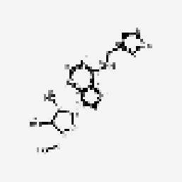 OC[C@H]1O[C@@H](n2cnc3c(NCc4ccoc4)ncnc32)[C@@H](O)C1O